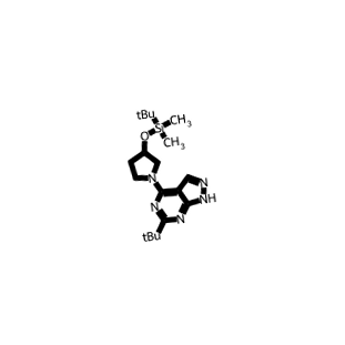 CC(C)(C)c1nc(N2CCC(O[Si](C)(C)C(C)(C)C)C2)c2cn[nH]c2n1